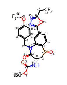 CC(C)(C)OC(=O)N[C@H]1C[S+]([O-])c2ccc(-c3nnc(CC(F)(F)F)o3)cc2N(Cc2ccc(OC(F)(F)F)cc2)C1=O